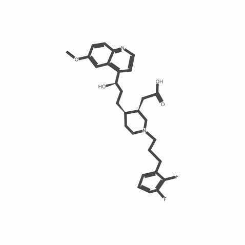 COc1ccc2nccc([C@H](O)CC[C@@H]3CCN(CCCc4cccc(F)c4F)C[C@@H]3CC(=O)O)c2c1